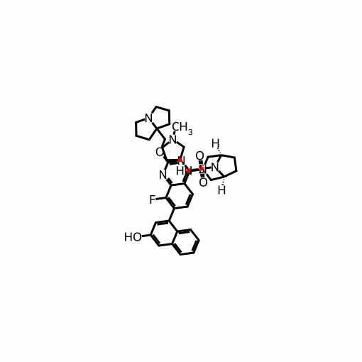 CN1CC[C@@H](NS(=O)(=O)N2[C@@H]3CC[C@H]2CN(c2nc(OCC45CCCN4CCC5)nc4c(F)c(-c5cc(O)cc6ccccc56)ccc24)C3)C1